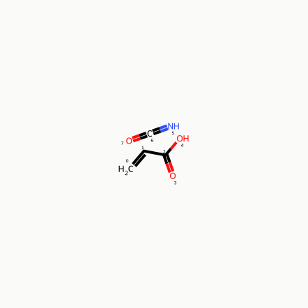 C=CC(=O)O.N=C=O